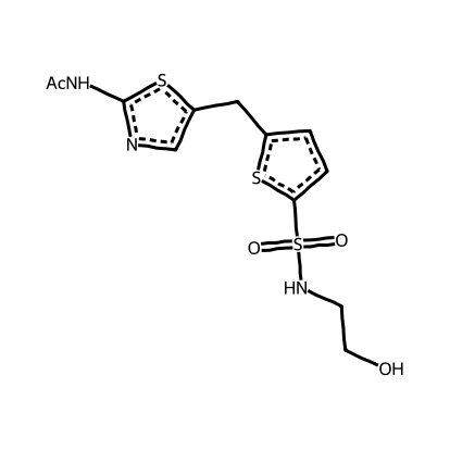 CC(=O)Nc1ncc(Cc2ccc(S(=O)(=O)NCCO)s2)s1